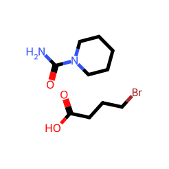 NC(=O)N1CCCCC1.O=C(O)CCCBr